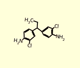 CCC(c1ccc(N)c(Cl)c1)c1ccc(N)c(Cl)c1